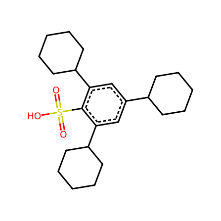 O=S(=O)(O)c1c(C2CCCCC2)cc(C2CCCCC2)cc1C1CCCCC1